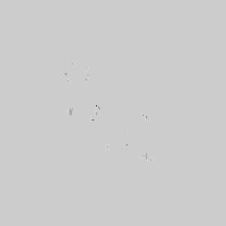 Cc1ccc(-c2c[nH]c(-c3ccccc3)n2)cc1SN1CCOCC1